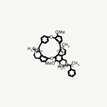 COc1ccc2cc1Oc1ccc(cc1)C[C@H]1c3cc(ccc3CCN1C)Oc1c(OC)c(OC)c(CN(C)[C@@H](C)c3ccccc3)c3c1[C@H](C2)N(C)CC3